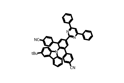 CC(C)(C)c1ccc2c(c1)c1ccccc1n2-c1c(-c2ccc(C#N)cc2)cc(-c2nc(-c3ccccc3)cc(-c3ccccc3)n2)cc1-c1ccc(C#N)cc1